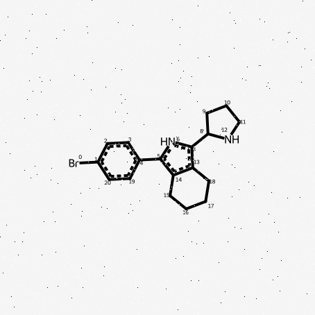 Brc1ccc(-c2[nH]c(C3CCCN3)c3c2CCCC3)cc1